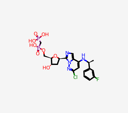 C[C@H](Nc1cc(Cl)nn2c([C@H]3C[C@H](O)[C@@H](COP(=O)(O)CP(=O)(O)O)O3)ncc12)c1cccc(F)c1